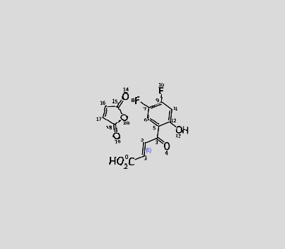 O=C(O)/C=C/C(=O)c1cc(F)c(F)cc1O.O=C1C=CC(=O)O1